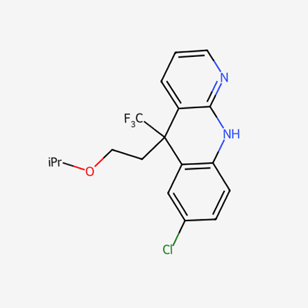 CC(C)OCCC1(C(F)(F)F)c2cc(Cl)ccc2Nc2ncccc21